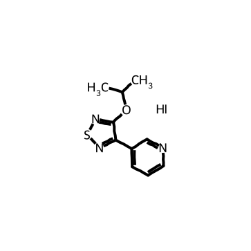 CC(C)Oc1nsnc1-c1cccnc1.I